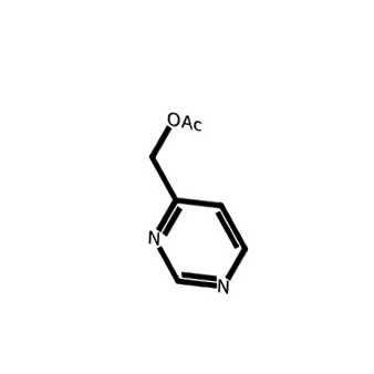 CC(=O)OCc1ccncn1